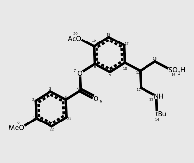 COc1ccc(C(=O)Oc2cc(C(CNC(C)(C)C)CS(=O)(=O)O)ccc2OC(C)=O)cc1